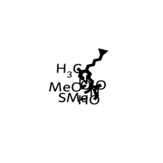 COCOC1(Cc2cc(CCCCC3CC3)c(C)cn2)C(=O)N(CO)C1CSC